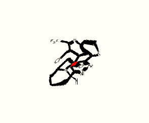 O=C(c1ccnc(C(F)(F)F)c1Cl)N1C2CCC[C@H]1c1nnc(-c3cccs3)n1C2